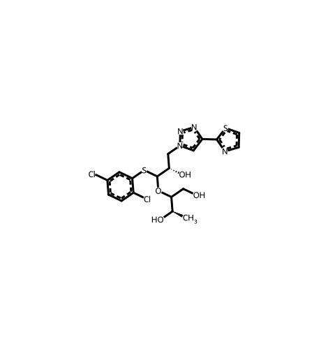 C[C@@H](O)C(CO)OC(Sc1cc(Cl)ccc1Cl)[C@@H](O)Cn1cc(-c2nccs2)nn1